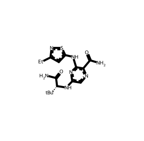 CCc1cc(Nc2nc(N[C@@H](C(N)=O)C(C)(C)C)cnc2C(N)=O)sn1